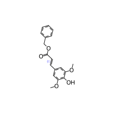 COc1cc(/C=C/C(=O)OCc2ccccc2)cc(OC)c1O